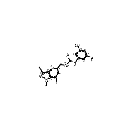 Cc1nn(C)c2c(C)cc(CNC(=O)Nc3cc(Cl)cc(Cl)c3)nc12